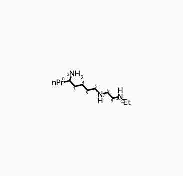 CCCC(N)CCCCNCCNCC